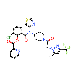 Cc1cc(C(F)(F)F)nn1CC(=O)N1CCC(N(C(=O)c2cccc(Cl)c2OC(=O)c2ccccn2)c2cscn2)CC1